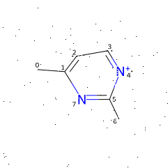 CC1=[C][C]=[N+]C(C)=N1